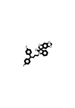 O=C1N(CCCC(c2ccc(F)cc2)c2ccc(F)cc2)c2ccccc2C12COc1cc3c(cc12)OCO3